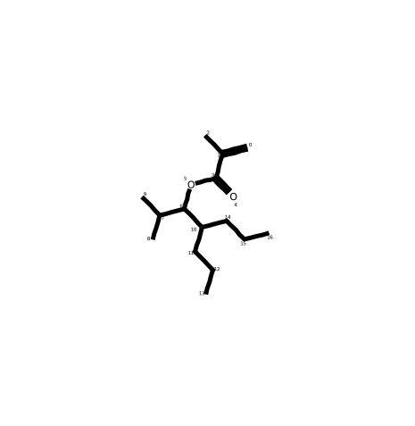 C=C(C)C(=O)OC(C(C)C)C(CCC)CCC